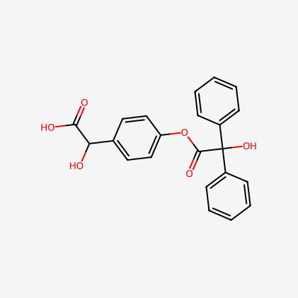 O=C(O)C(O)c1ccc(OC(=O)C(O)(c2ccccc2)c2ccccc2)cc1